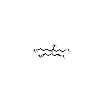 C=CCNCC=C.CCCCCC(P)CCCC